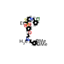 CCc1sc2c(c1S(=O)(=O)c1ccc(OCCCN(C)CCc3ccc(OC)c(OC)c3)cc1)CN(Cc1ccccc1Cl)CC2